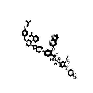 CC(C)COc1ccc(CN2CCN(C3CC4(CCN(c5ccc(C(=O)NS(=O)(=O)c6ccc(NC[C@H]7CC[C@](C)(O)CC7)c([N+](=O)[O-])c6)c(Oc6cnc7[nH]ccc7c6)c5)CC4)C3)[C@H](c3ccccc3C(C)C)C2)cc1